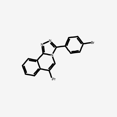 CC(C)c1cn2c(-c3ccc(Br)cc3)nnc2c2ccccc12